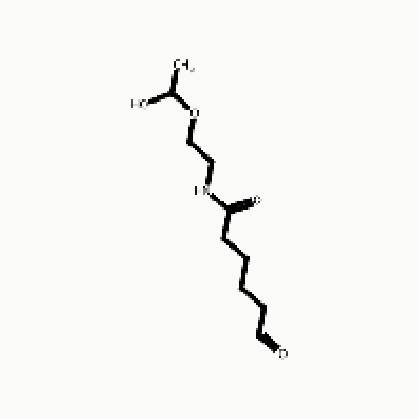 CC(O)OCCNC(=O)CCCCC=O